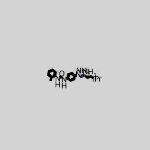 Cc1ccccc1NC(=O)Nc1ccc(N(N)/C=C(\N)CCC(C)C)cc1